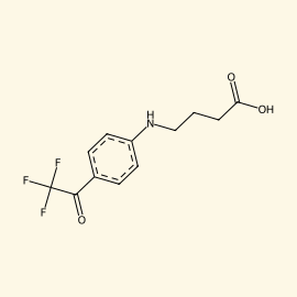 O=C(O)CCCNc1ccc(C(=O)C(F)(F)F)cc1